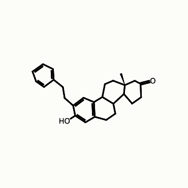 C[C@]12CCC3c4cc(CCc5ccccc5)c(O)cc4CCC3C1CCC(=O)C2